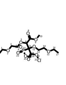 CCOCCOC(C(=O)OC)C(OCCOCC)(C(=O)OCl)P(=O)(O)OC